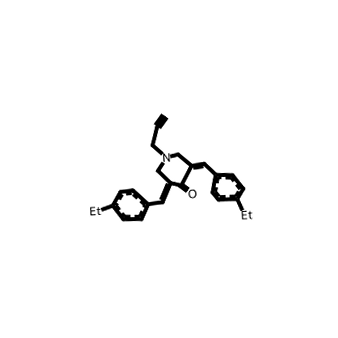 C#CCN1CC(=Cc2ccc(CC)cc2)C(=O)C(=Cc2ccc(CC)cc2)C1